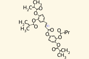 C=C(C)C(=O)Oc1ccc(/C=C/C(=O)Oc2ccc(OC(=O)C(=C)C)c(OC(=O)C(C)C)c2)cc1OC(=O)C(=C)C